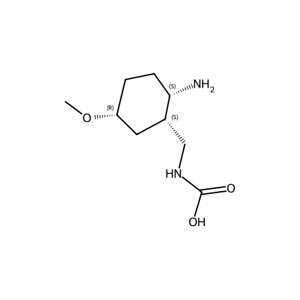 CO[C@@H]1CC[C@H](N)[C@H](CNC(=O)O)C1